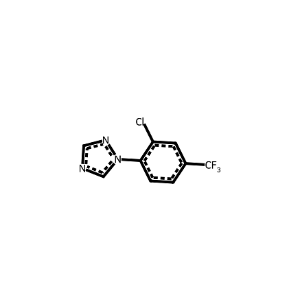 FC(F)(F)c1ccc(-n2cncn2)c(Cl)c1